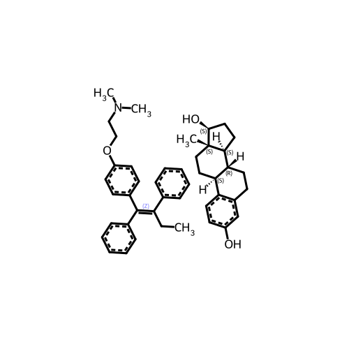 CC/C(=C(\c1ccccc1)c1ccc(OCCN(C)C)cc1)c1ccccc1.C[C@]12CC[C@@H]3c4ccc(O)cc4CC[C@H]3[C@@H]1CC[C@@H]2O